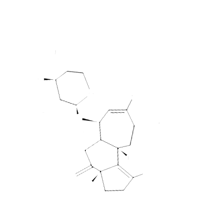 CC(=O)O[C@@H]1C[C@@H]2C3=C(C(C)C)CC[C@]3(C)C(=O)C[C@@]2(C)[C@@H](O[C@@H]2OC[C@@H](O)[C@H](O)[C@H]2O)C=C1C=O